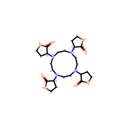 O=C1OCCC1N1CCN(C2CCOC2=O)CCN(C2CCOC2=O)CCN(C2CCOC2=O)CC1